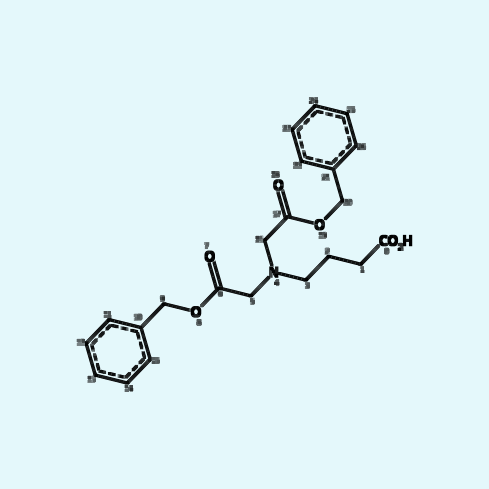 O=C(O)CCCN(CC(=O)OCc1ccccc1)CC(=O)OCc1ccccc1